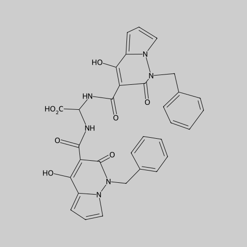 O=C(NC(NC(=O)c1c(O)c2cccn2n(Cc2ccccc2)c1=O)C(=O)O)c1c(O)c2cccn2n(Cc2ccccc2)c1=O